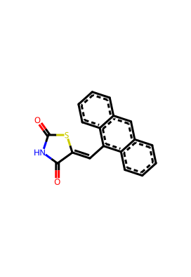 O=C1NC(=O)C(=Cc2c3ccccc3cc3ccccc23)S1